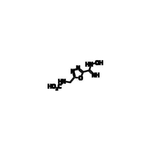 N=C(NO)c1nnc(CNC(=O)O)o1